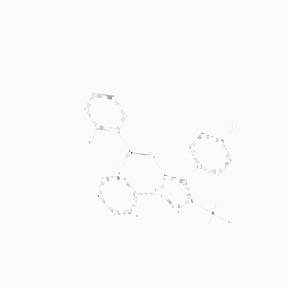 O=C(Nc1c(-c2ccc(Br)cc2)c(C(F)(F)F)nn1-c1ncccn1)c1ccccc1Cl